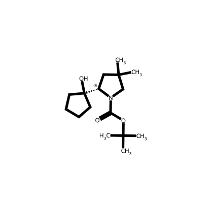 CC1(C)C[C@@H](C2(O)CCCC2)N(C(=O)OC(C)(C)C)C1